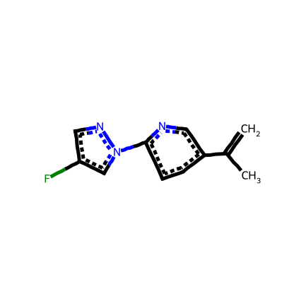 C=C(C)c1ccc(-n2cc(F)cn2)nc1